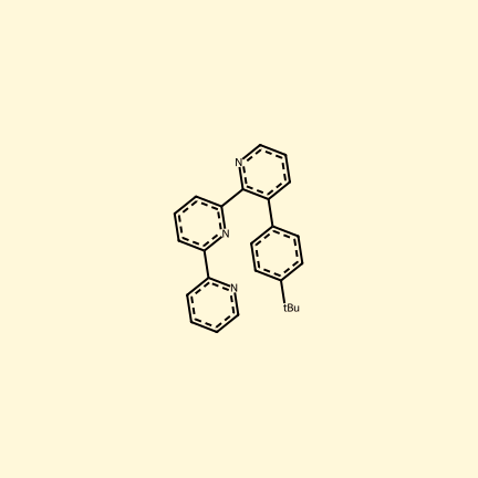 CC(C)(C)c1ccc(-c2cccnc2-c2cccc(-c3ccccn3)n2)cc1